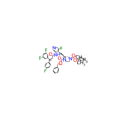 CC(C)(C)OC(=O)N1CCN(C(=O)OCc2ccccc2)[C@@H](C#Cc2c(F)cncc2NC(=O)C[C@@H](c2ccc(F)cc2)c2cc(F)cc(F)c2)C1